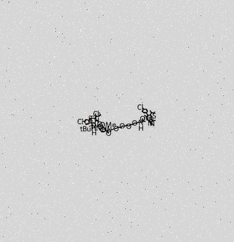 C=C(/C(F)=C(Cl)\C=C/C)[C@H]1[C@H](C(=O)Nc2ccc(C(=O)NCCOCCOCCOCCOCCNC(=O)C[C@@H]3N=C(c4ccc(Cl)cc4)c4c(sc(C)c4C)-n4c(C)nnc43)cc2OC)N[C@@H](CC(C)(C)C)[C@]1(C#N)c1ccc(Cl)cc1F